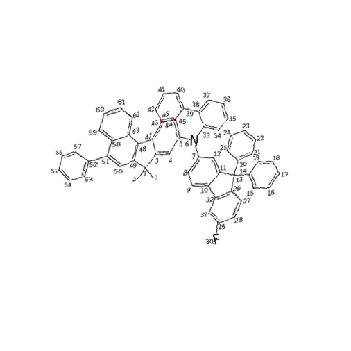 CC1(C)c2cc(N(c3ccc4c(c3)C(c3ccccc3)(c3ccccc3)c3ccc(F)cc3-4)c3ccccc3-c3ccccc3)ccc2-c2c1cc(-c1ccccc1)c1ccccc21